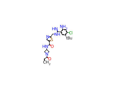 C=CC(=O)N1CC(NC(=O)c2cnc(CNC(=N)c3cc(C(C)(C)C)c(Cl)cc3N)s2)C1